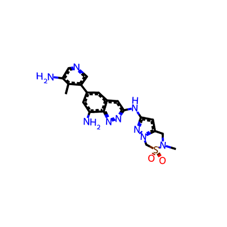 Cc1c(N)cncc1-c1cc(N)c2nnc(Nc3cc4n(n3)CS(=O)(=O)N(C)C4)cc2c1